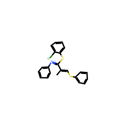 CC(=C\Sc1ccccc1)/C(=N\c1ccccc1)Sc1ccccc1Cl